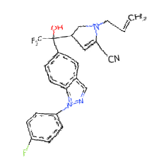 C=CCN1CC(C(O)(c2ccc3c(cnn3-c3ccc(F)cc3)c2)C(F)(F)F)C=C1C#N